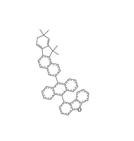 CC1(C)C=C2C(=CC1)c1ccc3cc(-c4c5ccccc5c(-c5cccc6oc7ccccc7c56)c5ccccc45)ccc3c1C2(C)C